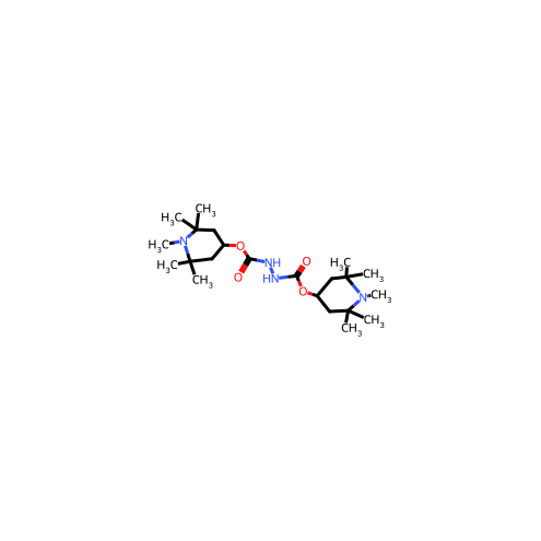 CN1C(C)(C)CC(OC(=O)NNC(=O)OC2CC(C)(C)N(C)C(C)(C)C2)CC1(C)C